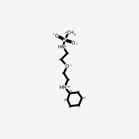 CS(=O)(=O)NCCOCCNC1CCCCC1